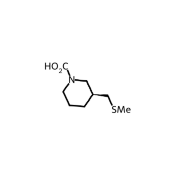 CSC[C@H]1CCCN(C(=O)O)C1